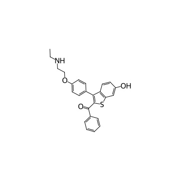 CCNCCOc1ccc(-c2c(C(=O)c3ccccc3)sc3cc(O)ccc23)cc1